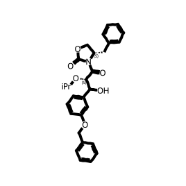 CC(C)O[C@H](C(=O)N1C(=O)OC[C@@H]1Cc1ccccc1)C(O)c1cccc(OCc2ccccc2)c1